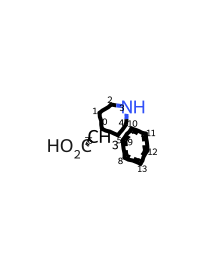 C1CCNCC1.CC(=O)O.c1ccccc1